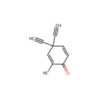 C#CC1(C#C)C=CC(=O)C(C#N)=C1